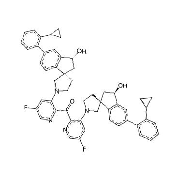 O=C(c1ncc(F)cc1N1CC[C@]2(C[C@@H](O)c3cc(-c4ccccc4C4CC4)ccc32)C1)c1ncc(F)cc1N1CC[C@]2(C[C@@H](O)c3cc(-c4ccccc4C4CC4)ccc32)C1